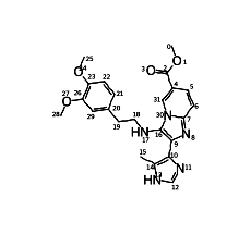 COC(=O)c1ccc2nc(-c3nc[nH]c3C)c(NCCc3ccc(OC)c(OC)c3)n2c1